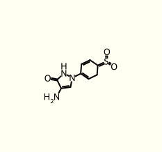 Nc1cn(C2=CCC(=S(=O)=O)C=C2)[nH]c1=O